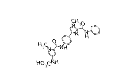 Cn1cc(NC(=O)O)cc1C(=O)Nc1ccc(-c2cn(C)c(C(=O)Nc3ccccc3)n2)cc1